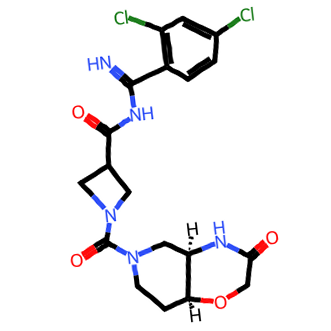 N=C(NC(=O)C1CN(C(=O)N2CC[C@@H]3OCC(=O)N[C@@H]3C2)C1)c1ccc(Cl)cc1Cl